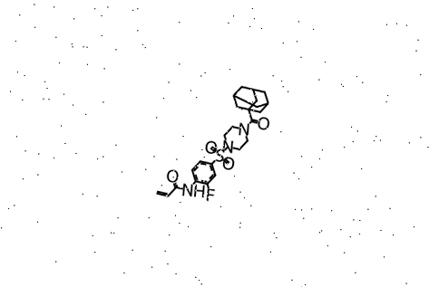 C=CC(=O)Nc1ccc(S(=O)(=O)N2CCN(C(=O)C34CC5CC(CC(C5)C3)C4)CC2)cc1F